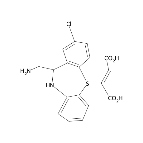 NCC1Nc2ccccc2Sc2ccc(Cl)cc21.O=C(O)C=CC(=O)O